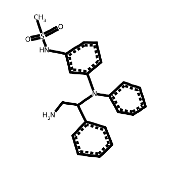 CS(=O)(=O)Nc1cccc(N(c2ccccc2)C(CN)c2ccccc2)c1